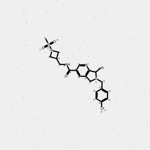 CC(C)C1c2ncc(C(=O)NCC3CN(S(C)(=O)=O)C3)cc2CN1Cc1ccc(C(F)(F)F)cc1